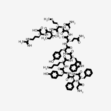 CC[C@H](C)[C@H](NC(=O)[C@H](CCSC)NC(=O)[C@H](CC(N)=O)NC(=O)[C@H](CCC(N)=O)NC(=O)[C@H](Cc1ccc(O)cc1)NC(=O)[C@H](Cc1c[nH]c2ccccc12)NC(=O)[C@H](CCCCN)NC(=O)[C@H](Cc1ccc(O)cc1)NC(=O)[C@H](Cc1ccccc1)NC(=O)[C@H](Cc1ccccc1)NC(=O)CN)C(=O)N[C@@H](CCCNC(=N)N)C(=O)O